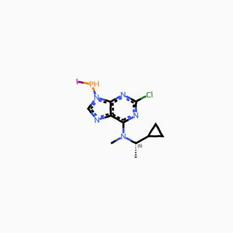 C[C@@H](C1CC1)N(C)c1nc(Cl)nc2c1ncn2PI